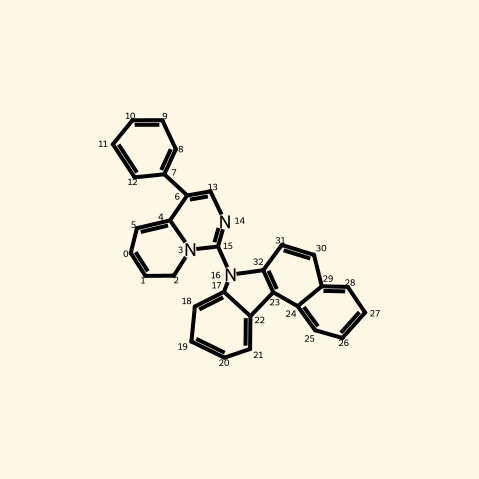 C1=CCN2C(=C1)C(c1ccccc1)=CN=C2n1c2ccccc2c2c3ccccc3ccc21